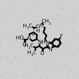 COCCCCn1c(C(=O)C(N[C@H]2C[C@@H](C(C)O)CN(C(=O)O)C2)C(C)C)nc2ccc(F)cc21